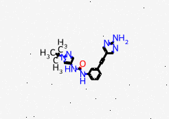 CC(C)(C)n1cc(NC(=O)Nc2cccc(C#Cc3cnc(N)nc3)c2)cn1